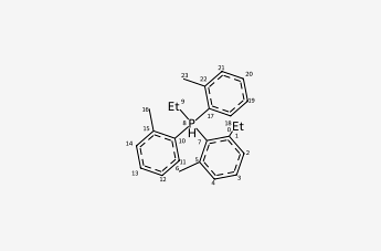 CCc1cccc(C)c1[PH](CC)(c1ccccc1C)c1ccccc1C